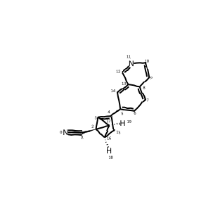 N#C[C@]12C3=C(c4ccc5ccncc5c4)C[C@@H]1[C@H]32